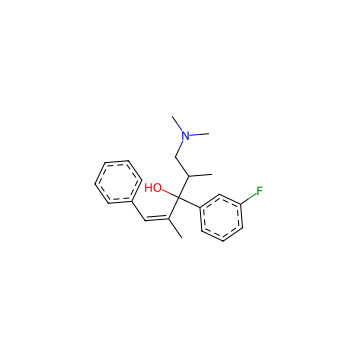 CC(=Cc1ccccc1)C(O)(c1cccc(F)c1)C(C)CN(C)C